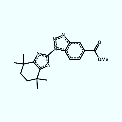 COC(=O)c1ccc2c(c1)nnn2-c1nc2c(s1)C(C)(C)CCC2(C)C